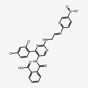 O=C(O)c1ccccc1C(=O)Nc1cnc(NCC=Nc2ccc([N+](=O)[O-])cn2)nc1-c1ccc(Cl)cc1Cl